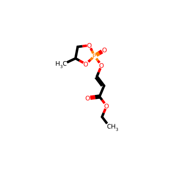 CCOC(=O)C=COP1(=O)OCC(C)O1